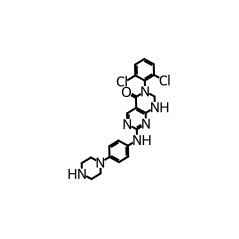 O=C1c2cnc(Nc3ccc(N4CCNCC4)cc3)nc2NCN1c1c(Cl)cccc1Cl